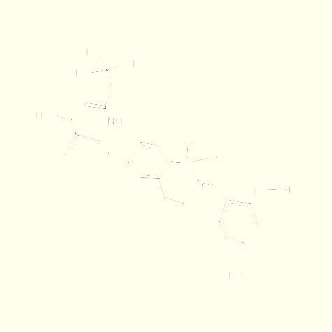 COC(=O)C(Cc1ccc2c(c1)CCN(Cc1ccc(OC)cc1OC)S2(O)O)NC(=O)OC(C)(C)C